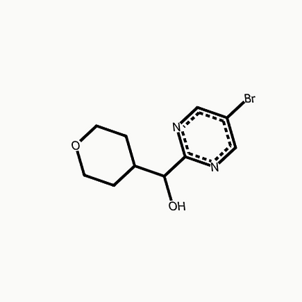 OC(c1ncc(Br)cn1)C1CCOCC1